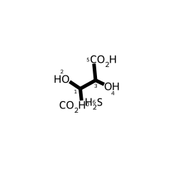 O=C(O)C(O)C(O)C(=O)O.S